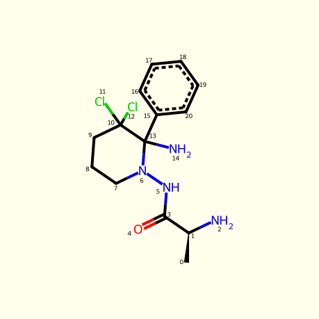 C[C@H](N)C(=O)NN1CCCC(Cl)(Cl)C1(N)c1ccccc1